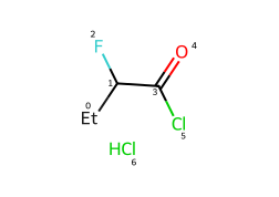 CCC(F)C(=O)Cl.Cl